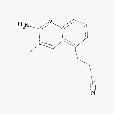 Cc1cc2c(CCC#N)cccc2nc1N